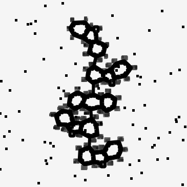 c1ccc2c(c1)oc1ccc(-c3ccc(-c4c5ccccc5c(-c5ccc(-c6cccc7oc8ccccc8c67)c6oc7ccccc7c56)c5ccccc45)c4oc5ccccc5c34)cc12